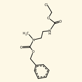 CN(CCNC(=O)OCCl)C(=O)OCc1ccccc1